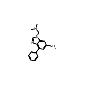 CN(C)Cn1cnc2c(-c3ccccc3)cc(N)cc21